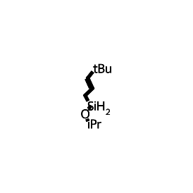 CC(C)O[SiH2]CC=CC(C)(C)C